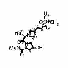 CNC(=O)[C@@H]1C[C@@H](O)CN1C(=O)[C@@H](n1cc(CCS(=O)(=O)N(C)C)nn1)C(C)(C)C